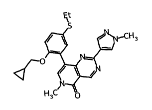 CCSc1ccc(OCC2CC2)c(-c2cn(C)c(=O)c3cnc(-c4cnn(C)c4)nc23)c1